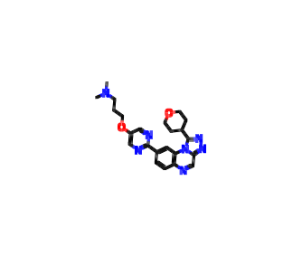 CN(C)CCCOc1cnc(-c2ccc3ncc4nnc(C5CCOCC5)n4c3c2)nc1